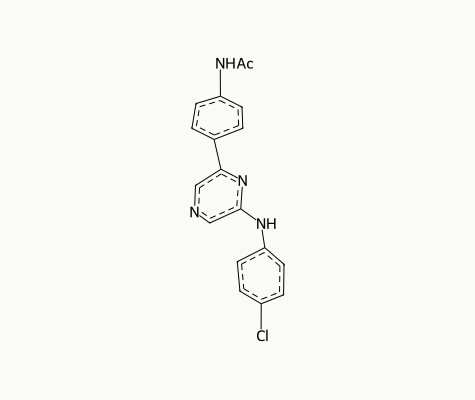 CC(=O)Nc1ccc(-c2cncc(Nc3ccc(Cl)cc3)n2)cc1